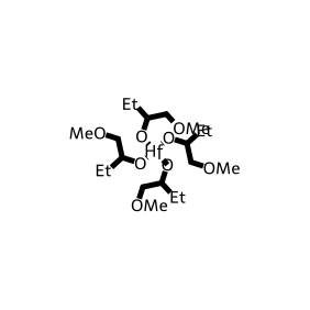 CCC(COC)[O][Hf]([O]C(CC)COC)([O]C(CC)COC)[O]C(CC)COC